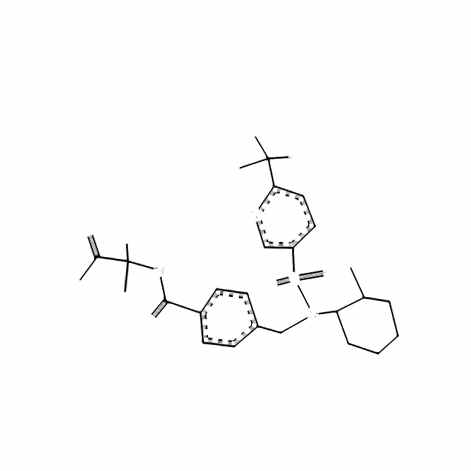 CC1CCCCC1N(Cc1ccc(C(=O)NC(C)(C)C(=O)O)cc1)S(=O)(=O)c1ccc(C(F)(F)F)nc1